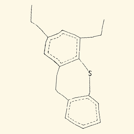 CCc1cc(CC)c2c(c1)Cc1ccccc1S2